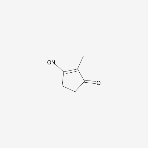 CC1=C(N=O)CCC1=O